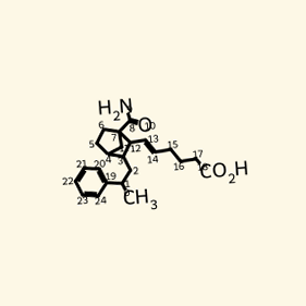 CC(CC1C2CCC(C(N)=O)(C2)C1C=CCCCC(=O)O)c1ccccc1